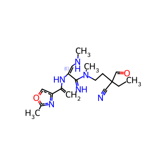 C=C(N/C(=C/NC)C(=N)N(C)CCC(C#N)(C=O)CC)c1coc(C)n1